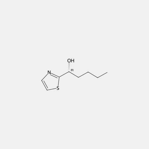 CCCC[C@@H](O)c1nccs1